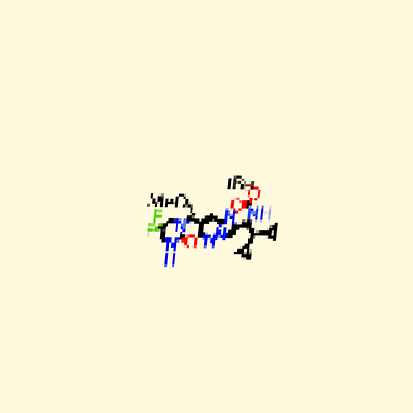 COC[C@H](c1cnn2cc([C@@H](NC(=O)OC(C)(C)C)C(C3CC3)C3CC3)nc2c1)N1CC(F)(F)CNC1=O